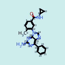 Cc1ccc(C(=O)NC2CC2)cc1-n1cnc2c(-c3ccccc3)nc(N)nc21